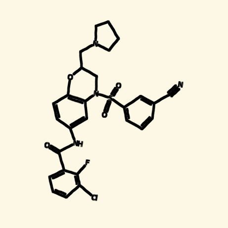 N#Cc1cccc(S(=O)(=O)N2CC(CN3CCCC3)Oc3ccc(NC(=O)c4cccc(Cl)c4F)cc32)c1